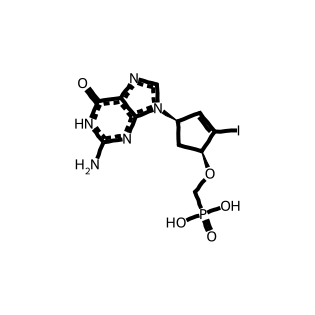 Nc1nc2c(ncn2[C@H]2C=C(I)[C@@H](OCP(=O)(O)O)C2)c(=O)[nH]1